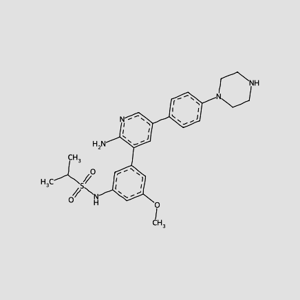 COc1cc(NS(=O)(=O)C(C)C)cc(-c2cc(-c3ccc(N4CCNCC4)cc3)cnc2N)c1